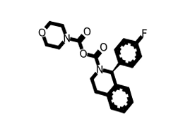 O=C(OC(=O)N1CCc2ccccc2[C@@H]1c1ccc(F)cc1)N1CCOCC1